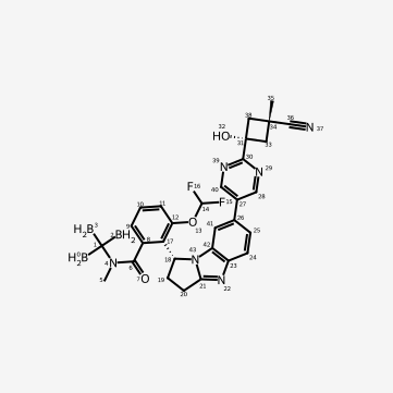 BC(B)(B)N(C)C(=O)c1cccc(OC(F)F)c1[C@H]1CCc2nc3ccc(-c4cnc([C@]5(O)C[C@@](C)(C#N)C5)nc4)cc3n21